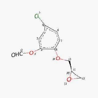 O=COc1cc(Cl)ccc1OC[C@H]1CO1